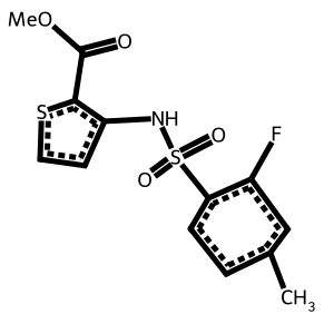 COC(=O)c1sccc1NS(=O)(=O)c1ccc(C)cc1F